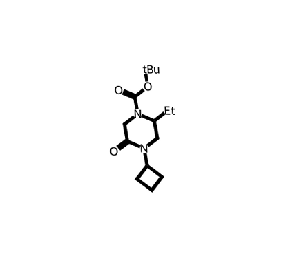 CCC1CN(C2CCC2)C(=O)CN1C(=O)OC(C)(C)C